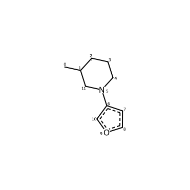 CC1[CH]CCN(c2ccoc2)C1